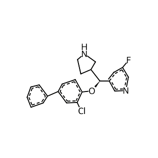 Fc1cncc([C@@H](Oc2ccc(-c3ccccc3)cc2Cl)C2CCNC2)c1